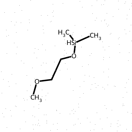 COCCO[SiH](C)C